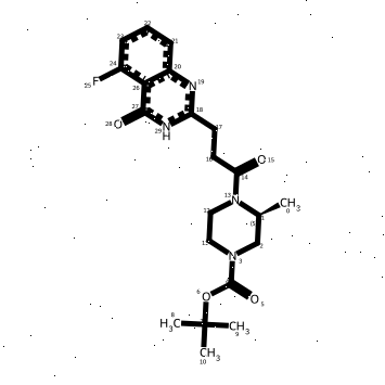 C[C@H]1CN(C(=O)OC(C)(C)C)CCN1C(=O)CCc1nc2cccc(F)c2c(=O)[nH]1